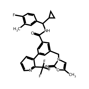 Cc1cn(Cc2cc(C(=O)NC(c3ccc(F)c(C)c3)C3CC3)cc(-c3cccnc3C(F)(F)F)c2)c(=N)o1